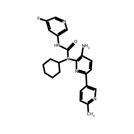 Cc1ccc(-c2ccc(N)c(N(C(=O)Nc3cncc(F)c3)C3CCCCC3)n2)cn1